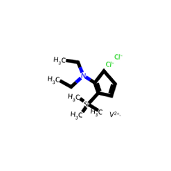 CCN(CC)C1=C([Si](C)(C)C)C=CC1.[Cl-].[Cl-].[V+2]